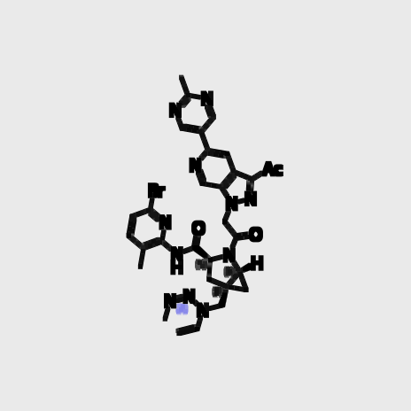 C=CN(C[C@@]12C[C@@H](C(=O)Nc3nc(Br)ccc3C)N(C(=O)Cn3nc(C(C)=O)c4cc(-c5cnc(C)nc5)ncc43)[C@@H]1C2)/N=N\C